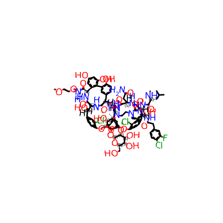 CN[C@H](CC(C)C)C(=O)N[C@H]1C(=O)N[C@@H](CC(N)=O)C(=O)N[C@H]2C(=O)N[C@H]3C(=O)N[C@H](C(=O)N[C@@H](C(=O)NOCCOC)c4cc(O)cc(O)c4-c4cc3ccc4O)[C@H](O)c3ccc(c(Cl)c3)Oc3cc2cc(c3O[C@@H]2O[C@H](CO)[C@@H](O)[C@H](O)[C@H]2O[C@H]2C[C@](C)(NCCn3ccc(NC(=O)Cc4ccc(Cl)c(F)c4)nc3=O)[C@H](O)[C@H](C)O2)Oc2ccc(cc2Cl)[C@H]1O